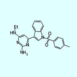 CCNc1cc(-c2cn(S(=O)(=O)c3ccc(C)cc3)c3ccccc23)nc(N)n1